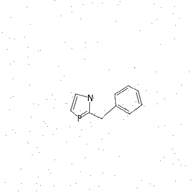 C1=CP=C(Cc2ccccc2)[N]1